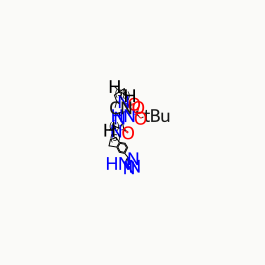 CC(C)(C)OC(=O)NC(CN1C[C@@H]2CC1C(=O)N2[C@H]1CCc2cc(-c3nnn[nH]3)ccc21)C(=O)N1C(C#N)C[C@@H]2C[C@@H]21